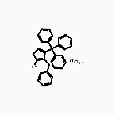 [Cl-].[Cl-].[Cl-].[Ti+3][C]1=C(Cc2ccccc2)C(C(c2ccccc2)(c2ccccc2)c2ccccc2)=CC1